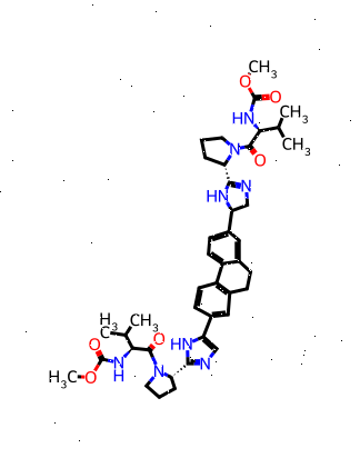 COC(=O)N[C@H](C(=O)N1CCC[C@H]1C1=NCC(c2ccc3c(c2)CCc2cc(-c4cnc([C@@H]5CCCN5C(=O)[C@@H](NC(=O)OC)C(C)C)[nH]4)ccc2-3)N1)C(C)C